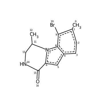 Cc1ccc2cc3n(c2c1Br)C(C)CNC3=O